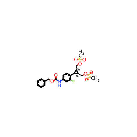 CS(=O)(=O)OC[C@@H]1C(c2ccc(NC(=O)OCc3ccccc3)cc2F)[C@@H]1COS(C)(=O)=O